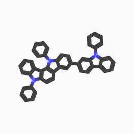 c1ccc(-n2c3ccccc3c3ccc(-c4ccc5c(c4)c4ccc6c(c7ccccc7n6-c6ccccc6)c4n5-c4ccccc4)cc32)cc1